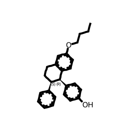 CCCCOc1ccc2c(c1)CC[C@H](c1ccccc1)[C@@H]2c1ccc(O)cc1